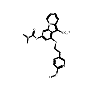 CCOc1ccc(CCOc2cc(OC(=O)N(C)C)cc3c2c(C(=O)O)c2ccccn23)cn1